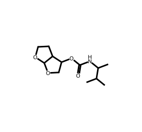 CC(C)C(C)NC(=O)OC1COC2OCCC12